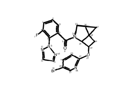 O=C(c1cccc(F)c1-n1nccn1)N1CC2CC23CC(Oc2ccc(Br)cn2)C13